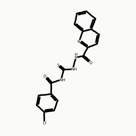 O=C(NC(=S)NNC(=O)c1ccc2ccccc2n1)c1ccc(Cl)cc1